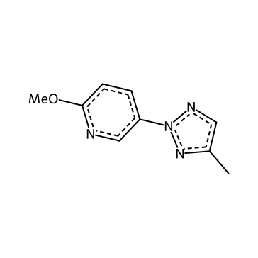 COc1ccc(-n2ncc(C)n2)cn1